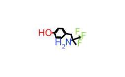 CC(N)(Cc1ccc(O)cc1)C(F)(F)F